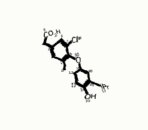 Cc1cc(CC(=O)O)cc(Cl)c1Oc1ccc(O)c(C(C)C)c1